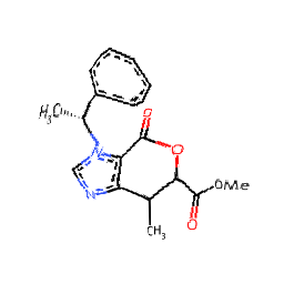 COC(=O)C1OC(=O)c2c(ncn2[C@H](C)c2ccccc2)C1C